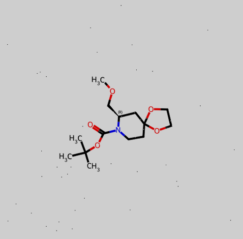 COC[C@H]1CC2(CCN1C(=O)OC(C)(C)C)OCCO2